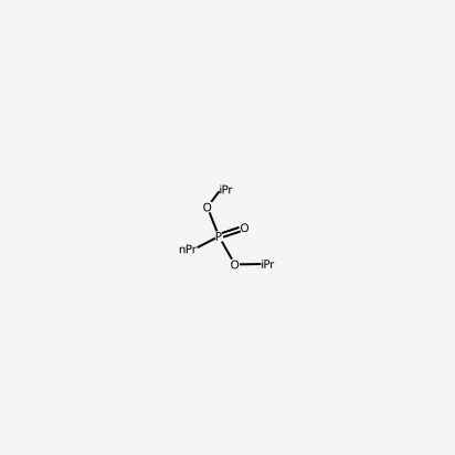 [CH2]CCP(=O)(OC(C)C)OC(C)C